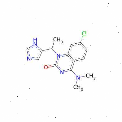 CC(c1cnc[nH]1)n1c(=O)nc(N(C)C)c2ccc(Cl)cc21